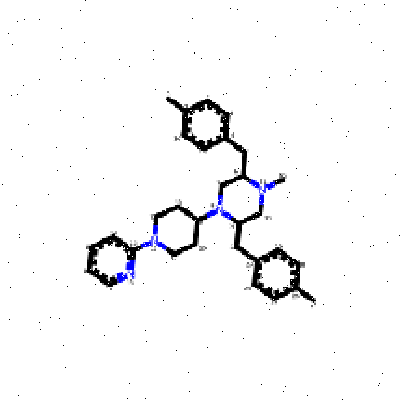 Cc1ccc(CC2CN(C3CCN(c4ccccn4)CC3)C(Cc3ccc(C)cc3)CN2C)cc1